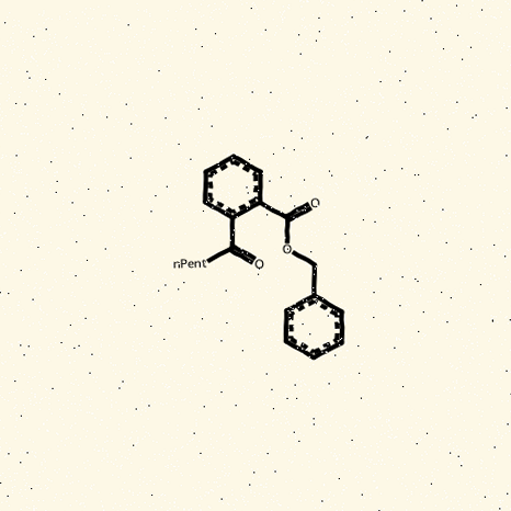 CCCCCC(=O)c1ccccc1C(=O)OCc1ccccc1